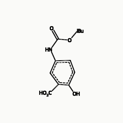 CCC(C)OC(=O)Nc1ccc(O)c(C(=O)O)c1